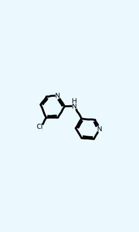 Clc1ccnc(Nc2cccnc2)c1